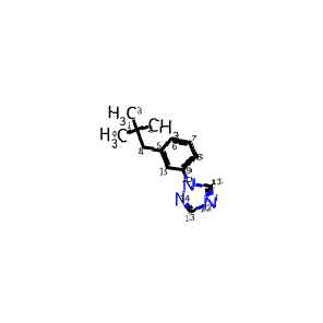 CC(C)(C)Cc1cccc(-n2cncn2)c1